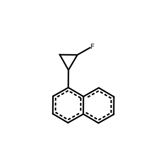 FC1CC1c1cccc2ccccc12